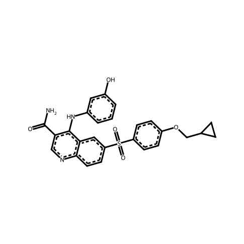 NC(=O)c1cnc2ccc(S(=O)(=O)c3ccc(OCC4CC4)cc3)cc2c1Nc1cccc(O)c1